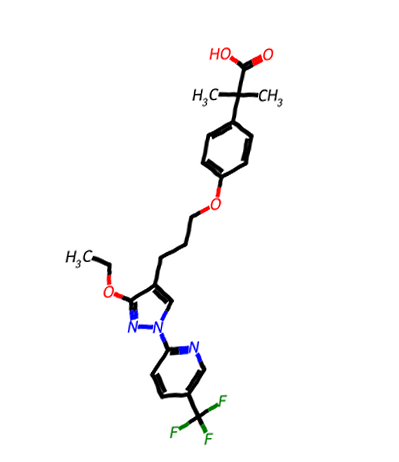 CCOc1nn(-c2ccc(C(F)(F)F)cn2)cc1CCCOc1ccc(C(C)(C)C(=O)O)cc1